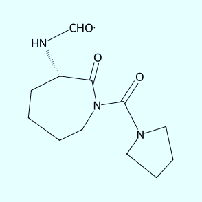 O=[C]N[C@H]1CCCCN(C(=O)N2CCCC2)C1=O